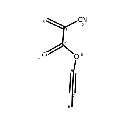 C=C(C#N)C(=O)OC#CC